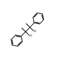 CC(C)C(C)(c1ccccc1)C(C)(c1ccccc1)C(C)C